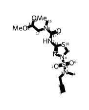 C#CCN(C)S(=O)(=O)N1CSC(NC(=O)N(C)CC(OC)OC)=N1